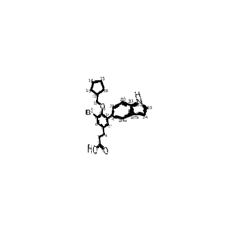 O=C(O)CCc1cc(Br)c(OCC2CCCC2)c(-c2ccc3[nH]ccc3c2)c1